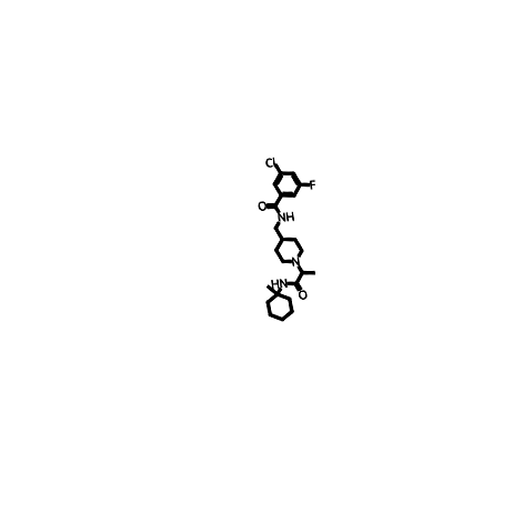 CC(C(=O)NC1(C)CCCCC1)N1CCC(CNC(=O)c2cc(F)cc(Cl)c2)CC1